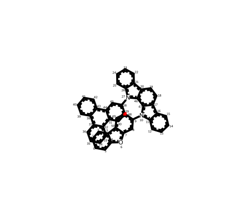 c1ccc2c(c1)oc1cc(-n3c4ccccc4c4ccc5c6ccccc6n(-c6ccc7c8ccccc8c8ccccc8c7c6)c5c43)ccc12